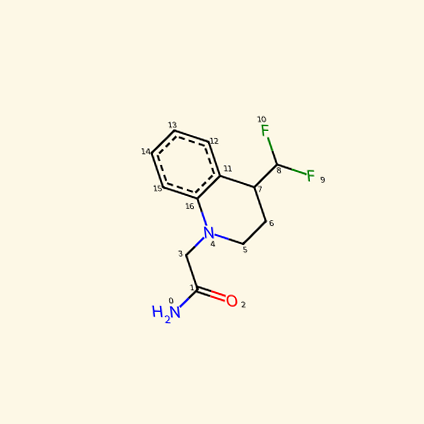 NC(=O)CN1CCC(C(F)F)c2ccccc21